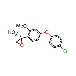 COc1cc(Oc2ccc(Cl)cc2)ccc1C1(C(=O)O)CO1